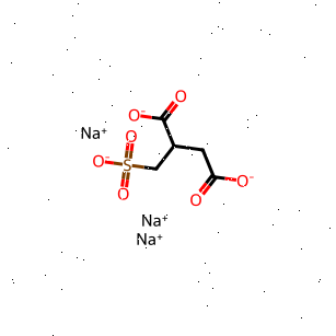 O=C([O-])CC(CS(=O)(=O)[O-])C(=O)[O-].[Na+].[Na+].[Na+]